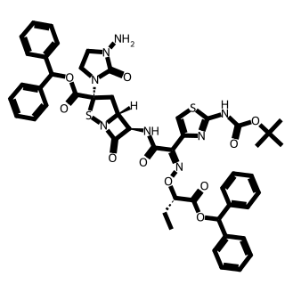 CC[C@H](O/N=C(\C(=O)N[C@H]1C(=O)N2S[C@](C(=O)OC(c3ccccc3)c3ccccc3)(N3CCN(N)C3=O)C[C@H]12)c1csc(NC(=O)OC(C)(C)C)n1)C(=O)OC(c1ccccc1)c1ccccc1